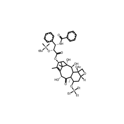 CC[Si](CC)(CC)OC1C[C@H]2OC[C@@]2(OC(C)=O)C2[C@H](O)[C@]3(O)C[C@H](OC(=O)[C@H](O[Si](C)(C)C(C)(C)C)[C@@H](NC(=O)c4ccccc4)c4ccccc4)C(C)=C([C@@H](O)C(=O)[C@]12C)C3(C)C